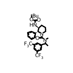 CC(c1cc(C(F)(F)F)cc(C(F)(F)F)c1)N(C)C(=O)N1CCC[C@H](NC(=O)OC(C)(C)C)[C@H]1c1ccccc1